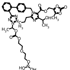 CCCc1nc(C(C)O)c(C(=O)OCc2oc(=O)oc2C)n1Cc1ccc(-c2ccccc2-c2nnn(C(C)OC(=O)OCCOCCON(O)O)n2)cc1